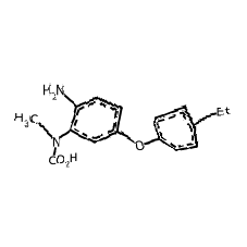 CCc1ccc(Oc2ccc(N)c(N(C)C(=O)O)c2)cc1